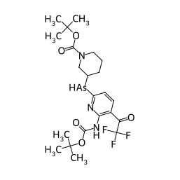 CC(C)(C)OC(=O)Nc1nc([AsH]C2CCCN(C(=O)OC(C)(C)C)C2)ccc1C(=O)C(F)(F)F